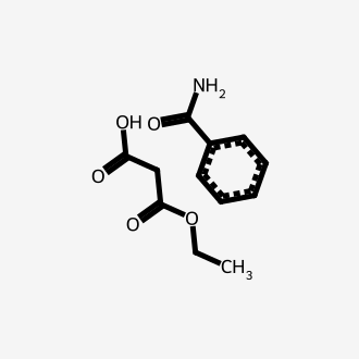 CCOC(=O)CC(=O)O.NC(=O)c1ccccc1